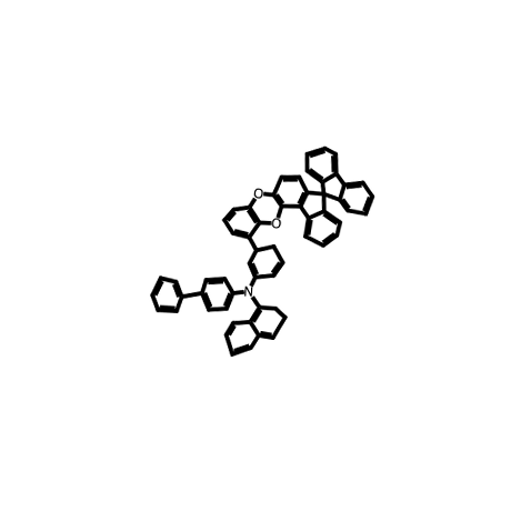 C1=CC(N(C2=c3ccccc3=CCC2)c2ccc(-c3ccccc3)cc2)=CC(c2cccc3c2Oc2c(ccc4c2-c2ccccc2C42c4ccccc4-c4ccccc42)O3)C1